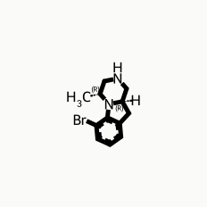 C[C@@H]1CNC[C@H]2Cc3cccc(Br)c3N21